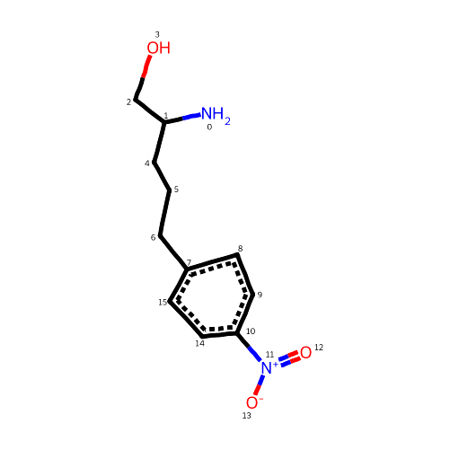 NC(CO)CCCc1ccc([N+](=O)[O-])cc1